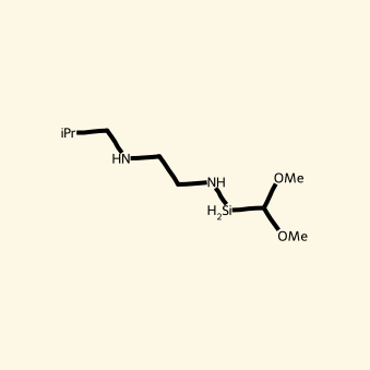 COC(OC)[SiH2]NCCNCC(C)C